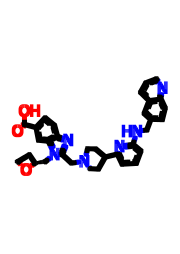 O=C(O)c1ccc2nc(CN3CCC(c4cccc(NCc5ccc6ncccc6c5)n4)CC3)n(C[C@@H]3CCO3)c2c1